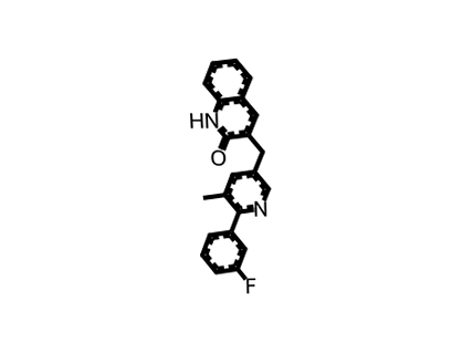 Cc1cc(Cc2cc3ccccc3[nH]c2=O)cnc1-c1cccc(F)c1